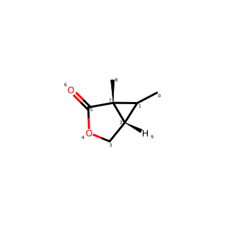 CC1[C@@H]2COC(=O)[C@]12C